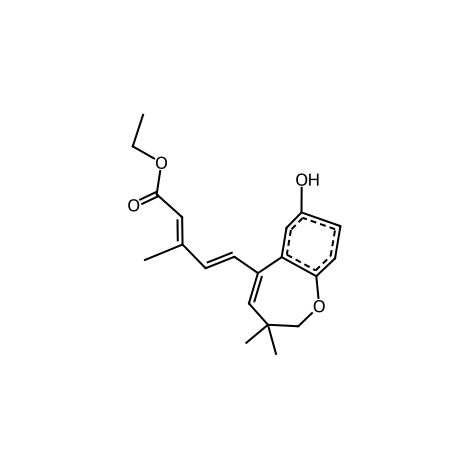 CCOC(=O)C=C(C)C=CC1=CC(C)(C)COc2ccc(O)cc21